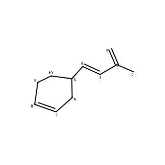 C=C(C)C=CC1CC=CCC1